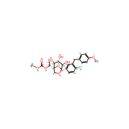 CCOc1ccc(Cc2cc([C@]34OC[C@](C(C)OC(=O)OC(C)C)(O3)[C@@H](O)[C@H](O)[C@H]4O)ccc2Cl)cc1